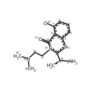 C[C@H](N)c1nc2cccc(Cl)c2c(=O)n1CCN(C)C